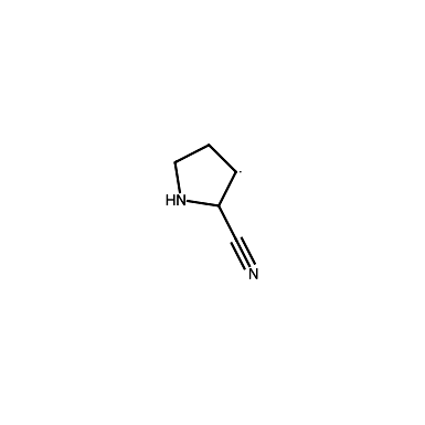 N#CC1[CH]CCN1